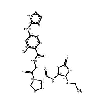 CCO[C@@H]1OC(=O)C[C@@H]1NC(=O)[C@@H]1CCCN1C(=O)CNC(=O)c1ccc(Nc2nccs2)cc1Cl